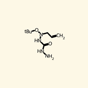 C=CCN(NC(=O)NN)OC(C)(C)C